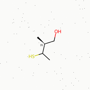 CC(S)[C@@H](C)CO